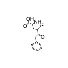 CCC(CC(N)C(=O)O)C(=O)Cc1ccccc1